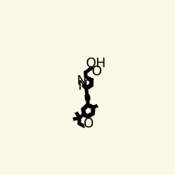 Cc1cc2c(cc1C#Cc1ccc(CC(=O)O)nn1)C(C)(C)CCO2